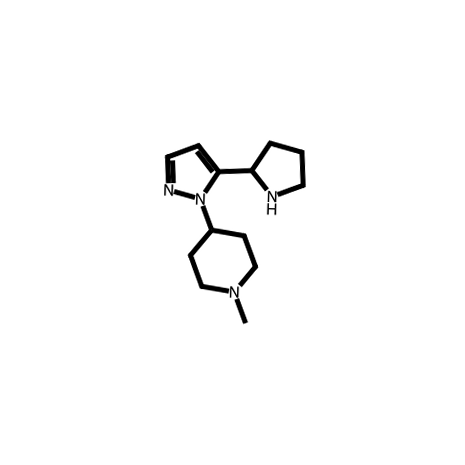 CN1CCC(n2nccc2C2CCCN2)CC1